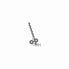 CCCCCCCCCCCCOc1cccc(C(=O)O)c1-c1ccccc1